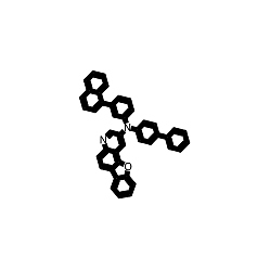 c1ccc(-c2ccc(N(c3cccc(-c4cccc5ccccc45)c3)c3cnc4ccc5c6ccccc6oc5c4c3)cc2)cc1